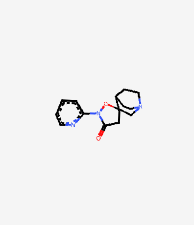 O=C1CC2(CN3CCC2CC3)ON1c1ccccn1